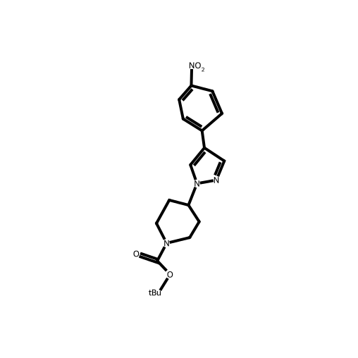 CC(C)(C)OC(=O)N1CCC(n2cc(-c3ccc([N+](=O)[O-])cc3)cn2)CC1